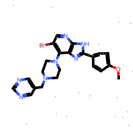 COc1ccc(-c2nc3c(N4CCN(Cc5cncnc5)CC4)c(Br)cnc3[nH]2)cc1